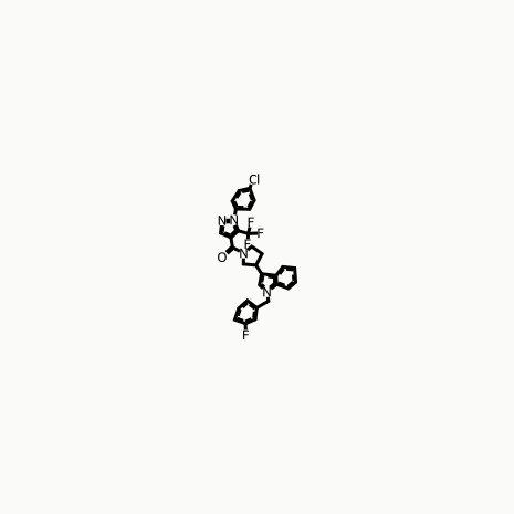 O=C(c1cnn(-c2ccc(Cl)cc2)c1C(F)(F)F)N1CCC(c2cn(Cc3cccc(F)c3)c3ccccc23)C1